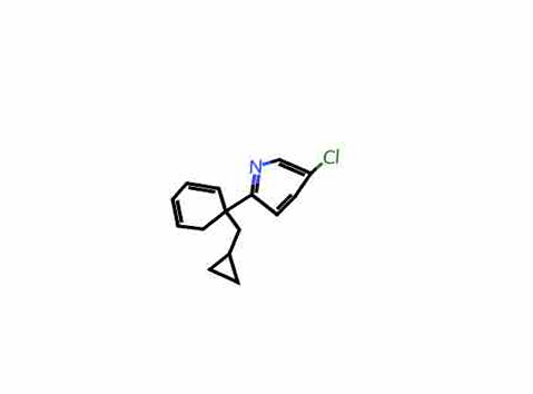 Clc1ccc(C2(CC3CC3)C=CC=CC2)nc1